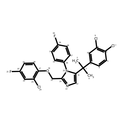 CC(C)(c1ccc(Cl)c(Cl)c1)c1cnc(COc2ccc(F)cc2Cl)n1-c1ccc(F)cc1